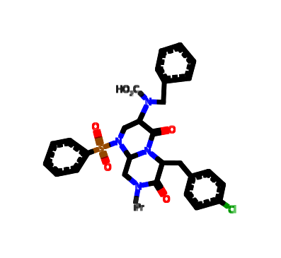 CC(C)N1CC2N(C(=O)C(N(Cc3ccccc3)C(=O)O)CN2S(=O)(=O)c2ccccc2)C(Cc2ccc(Cl)cc2)C1=O